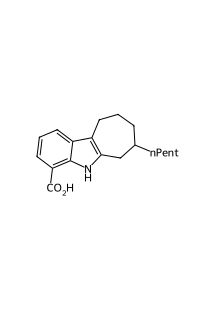 CCCCCC1CCCc2c([nH]c3c(C(=O)O)cccc23)C1